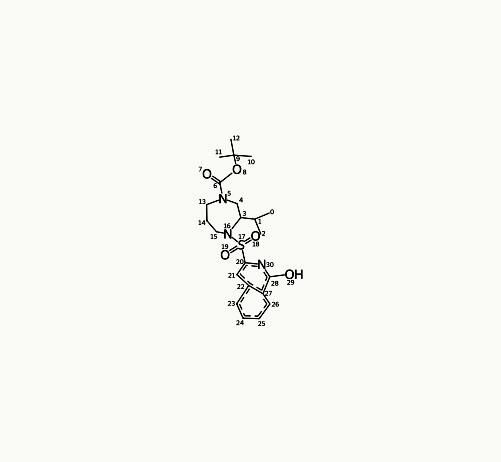 CC(C)C1CN(C(=O)OC(C)(C)C)CCCN1S(=O)(=O)c1cc2ccccc2c(O)n1